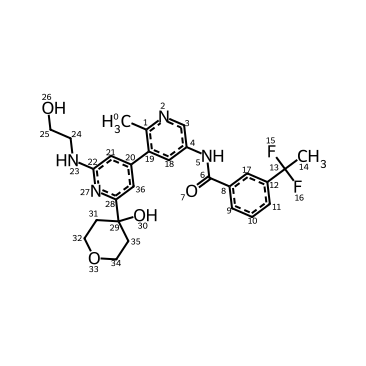 Cc1ncc(NC(=O)c2cccc(C(C)(F)F)c2)cc1-c1cc(NCCO)nc(C2(O)CCOCC2)c1